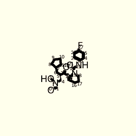 O=CN(O)C[C@@H](CC1CCCC1)C(=O)N1CCCCN1C(=O)Nc1ccc(F)cc1